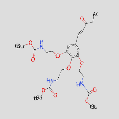 CC(=O)CC(=O)/C=C/c1cc(OCCNC(=O)OC(C)(C)C)c(OCCNC(=O)OC(C)(C)C)c(OCCNC(=O)OC(C)(C)C)c1